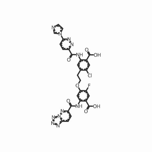 O=C(Nc1cc(CCOc2cc(NC(=O)c3ccc4nnnn4n3)c(C(=O)O)cc2F)c(Cl)cc1C(=O)O)c1ccc(-n2ccnc2)nn1